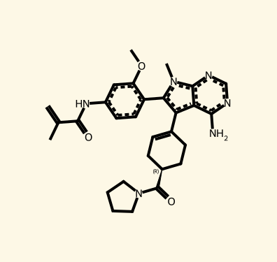 C=C(C)C(=O)Nc1ccc(-c2c(C3=CC[C@H](C(=O)N4CCCC4)CC3)c3c(N)ncnc3n2C)c(OC)c1